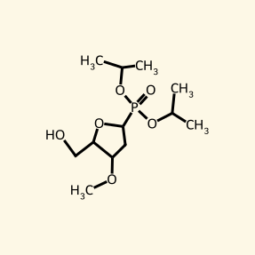 COC1CC(P(=O)(OC(C)C)OC(C)C)OC1CO